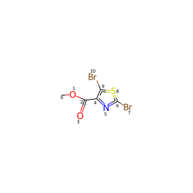 COC(=O)c1nc(Br)sc1Br